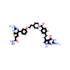 CCNC(=O)c1cc2c(-c3cccc(OCCC4CCN(C(=O)c5ccc(CCc6c[nH]c7nc(N)[nH]c(=O)c67)cc5)CC4)c3)nc(N)nc2s1